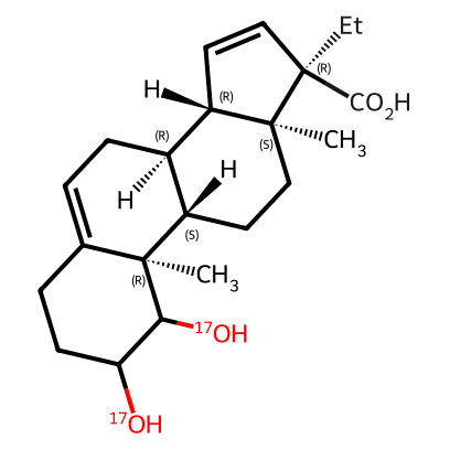 CC[C@@]1(C(=O)O)C=C[C@H]2[C@@H]3CC=C4CCC([17OH])C([17OH])[C@]4(C)[C@H]3CC[C@@]21C